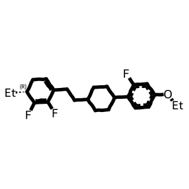 CCOc1ccc(C2CCC(CCC3=CC[C@@H](CC)C(F)=C3F)CC2)c(F)c1